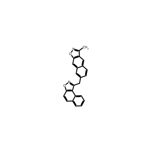 Cc1noc2cc3cc(Cc4noc5ccc6ccccc6c45)ccc3cc12